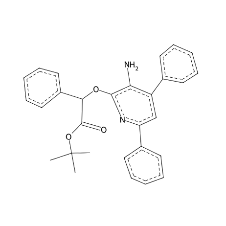 CC(C)(C)OC(=O)C(Oc1nc(-c2ccccc2)cc(-c2ccccc2)c1N)c1ccccc1